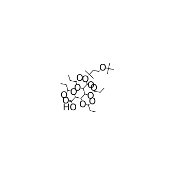 CCC(=O)OC(C(=O)O)C(OC(=O)CC)C(OC(=O)CC)C(OC(=O)CC)C(=O)OC(C)(C)CCOC(C)(C)C